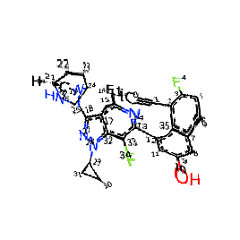 C#Cc1c(F)ccc2cc(O)cc(-c3nc(CC)c4c(N5C[C@@H]6CCC5CN6)nn(C5CC5)c4c3F)c12